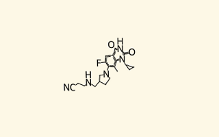 Cc1c(N2CCC(CNCCC#N)C2)c(F)cc2c(=O)[nH]c(=O)n(C3CC3)c12